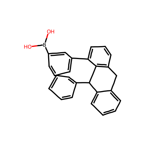 OB(O)c1cccc(-c2cccc3c2C(c2ccccc2)c2ccccc2C3)c1